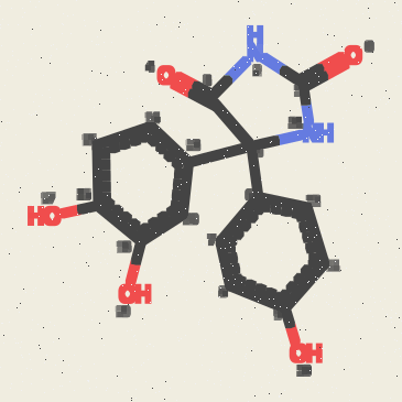 O=C1NC(=O)C(c2ccc(O)cc2)(c2ccc(O)c(O)c2)N1